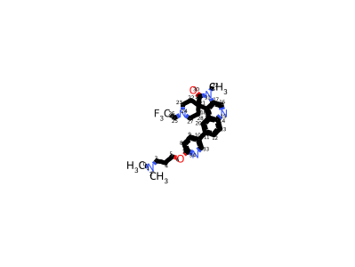 CN(C)CCCOc1ccc(-c2ccc3ncc4c(c3c2)C2(CCN(CC(F)(F)F)CC2)C(=O)N4C)cn1